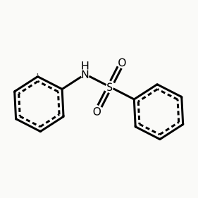 O=S(=O)(Nc1[c]cccc1)c1ccccc1